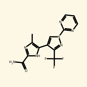 Cc1nc(C(N)=O)[nH]c1-c1cn(-c2ncccn2)nc1C(F)(F)F